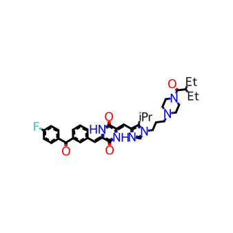 CCC(CC)C(=O)N1CCN(CCCn2cnc(/C=c3\[nH]c(=O)/c(=C/c4cccc(C(=O)c5ccc(F)cc5)c4)[nH]c3=O)c2C(C)C)CC1